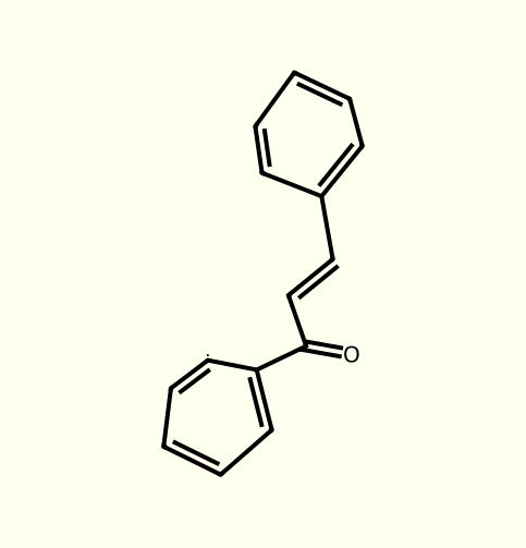 O=C(C=Cc1ccccc1)c1[c]cccc1